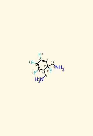 NCC1C(F)=C(F)C(F)=CC1(F)CN